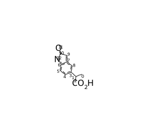 CC(C(=O)O)c1ccc2c(c1)=CC(=O)N=2